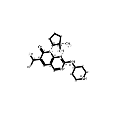 C[C@@]1(O)CCC[C@H]1n1c(=O)c(C(F)F)cc2cnc(NC3CCNCC3)nc21